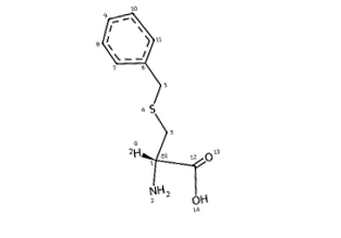 [2H][C@@](N)(CSCc1ccccc1)C(=O)O